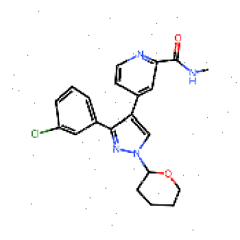 CNC(=O)c1cc(-c2cn(C3CCCCO3)nc2-c2cccc(Cl)c2)ccn1